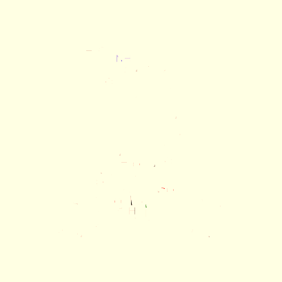 CNC(=O)c1cccc(-c2ccc(O[C@H]3O[C@@H]4COC(c5ccccc5)O[C@H]4[C@H](F)[C@@H]3OCc3ccccc3)cc2)c1